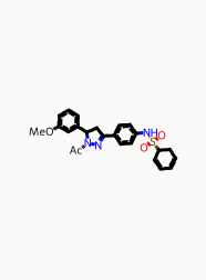 COc1cccc(C2CC(c3ccc(NS(=O)(=O)C4C=CC=CC4)cc3)=NN2C(C)=O)c1